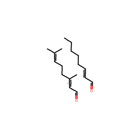 CC(C)=CCC/C(C)=C/C=O.CCCCCC=CC=O